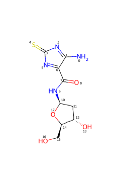 NC1=NC(=S)N=C1C(=O)N[C@H]1C[C@H](O)[C@@H](CO)O1